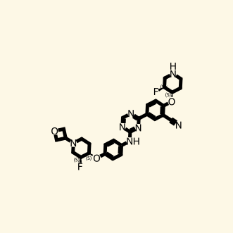 N#Cc1cc(-c2ncnc(Nc3ccc(O[C@H]4CCN(C5COC5)C[C@@H]4F)cc3)n2)ccc1O[C@H]1CCNC[C@@H]1F